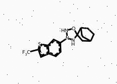 FC(F)(F)c1cc2ccc(N3NOC4(CC5CCC4CC5)N3)cc2s1